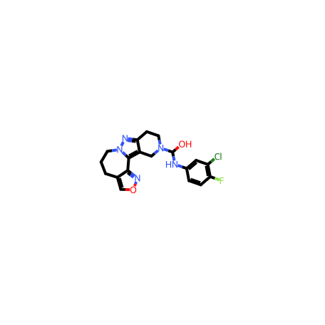 OC(Nc1ccc(F)c(Cl)c1)N1CCc2nn3c(c2C1)-c1nocc1CCC3